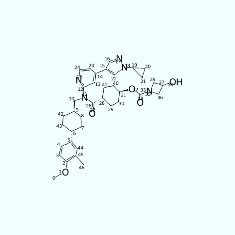 COc1ccc([C@H]2CC[C@H](CN(c3cc(-c4cnn(C5CC5)c4)ccn3)C(=O)[C@H]3CC[C@H](OC(=O)N4CC(O)C4)CC3)CC2)cc1C